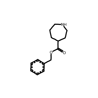 O=C(OCc1ccccc1)C1CCCNCC1